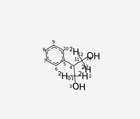 [2H]C([2H])(O)C(c1ccccc1)C([2H])([2H])O